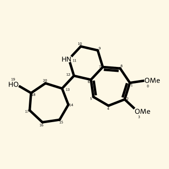 COC1=C(OC)CC=C2C(=C1)CCNC2C1CCCCC(O)C1